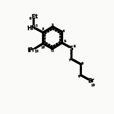 CCNc1ccc(SCCCBr)cc1C(C)C